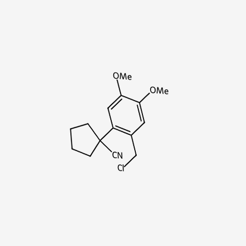 COc1cc(CCl)c(C2(C#N)CCCC2)cc1OC